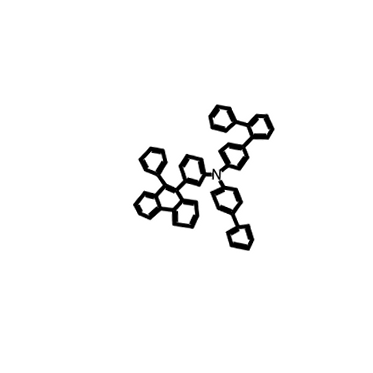 c1ccc(-c2ccc(N(c3ccc(-c4ccccc4-c4ccccc4)cc3)c3cccc(-c4c(-c5ccccc5)c5ccccc5c5ccccc45)c3)cc2)cc1